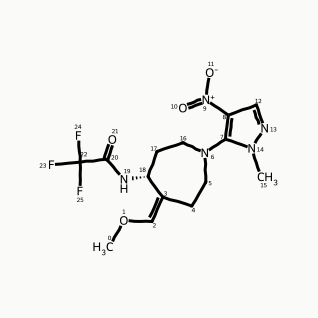 CO/C=C1/CCN(c2c([N+](=O)[O-])cnn2C)CC[C@H]1NC(=O)C(F)(F)F